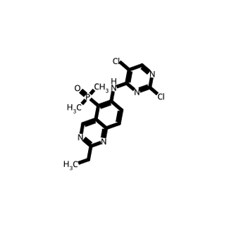 CCc1ncc2c(P(C)(C)=O)c(Nc3nc(Cl)ncc3Cl)ccc2n1